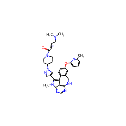 Cc1cccc(Oc2ccc3c(c2)CNc2ncnc4c2c-3c(-c2cnn(C3CCN(C(=O)/C=C/CN(C)C)CC3)c2)n4C)n1